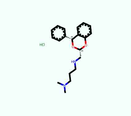 CN(C)CCCNC[C@H]1Oc2ccccc2[C@@H](c2ccccc2)O1.Cl